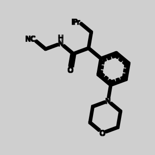 CC(C)CC(C(=O)NCC#N)c1cccc(N2CCOCC2)c1